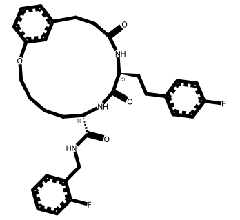 O=C1CCc2cccc(c2)OCCCC[C@@H](C(=O)NCc2ccccc2F)NC(=O)[C@H](CCc2ccc(F)cc2)N1